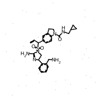 C=CC(c1ccc2c(c1)CCN2C(=O)NCC1CC1)S(=O)(=O)N1CC(c2ccccc2CN)N=C1N